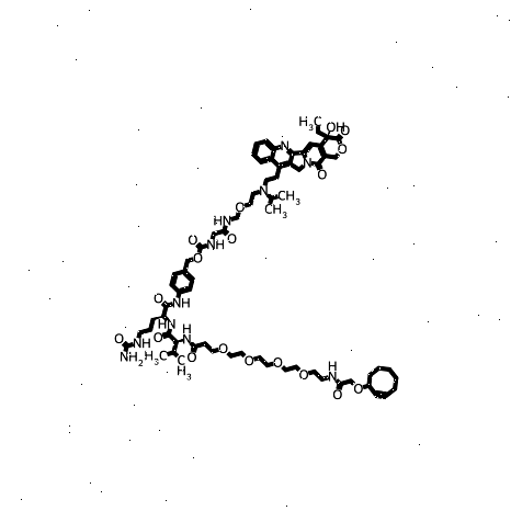 CC[C@@]1(O)C(=O)OCc2c1cc1n(c2=O)Cc2c-1nc1ccccc1c2CCN(CCOCNC(=O)CNC(=O)OCc1ccc(NC(=O)[C@H](CCCNC(N)=O)NC(=O)[C@@H](NC(=O)CCOCCOCCOCCOCCNC(=O)COC2C#CCCCCC2)C(C)C)cc1)C(C)C